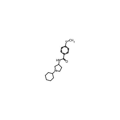 CSc1ccc(C(=O)NC2CCN(C3CCCCC3)C2)cc1